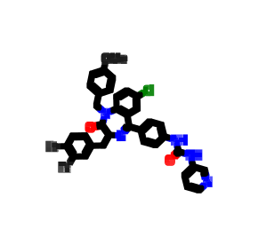 CCc1ccc(CC2N=C(c3ccc(NC(=O)Nc4cccnc4)cc3)c3cc(Cl)ccc3N(Cc3ccc(OC)cc3)C2=O)cc1CC